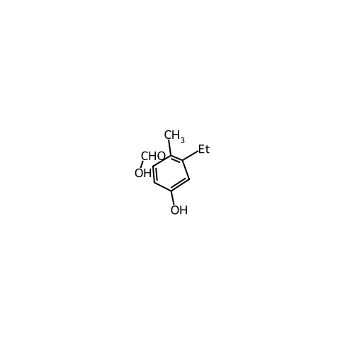 CCc1cc(O)ccc1C.O=CO